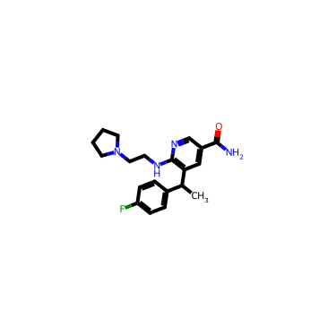 CC(c1ccc(F)cc1)c1cc(C(N)=O)cnc1NCCN1CCCC1